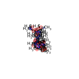 C/C=C/C[C@@H](C)[C@@H](OC(C)=O)[C@@H](C(=O)N[C@@H](CC)C(=O)OCCN(C)C(C)=O)N(C)C(=O)[C@H](C(C)C)N(C)C(=O)[C@H](CC(C)C)N(C)C(=O)[C@H](CC(C)C)N(C)C(=O)[C@@H](C)NC(=O)[C@H](C)NC(=O)[C@H](CC(C)C)N(C)C(=O)[C@@H](NC(=O)[C@H]([C@H](C)CS(C)(=O)=O)N(C)C(=O)OC(C)(C)C)C(C)C